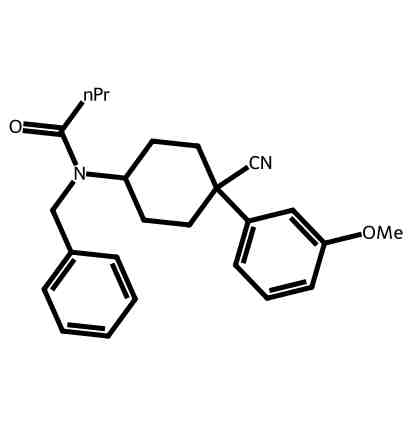 CCCC(=O)N(Cc1ccccc1)C1CCC(C#N)(c2cccc(OC)c2)CC1